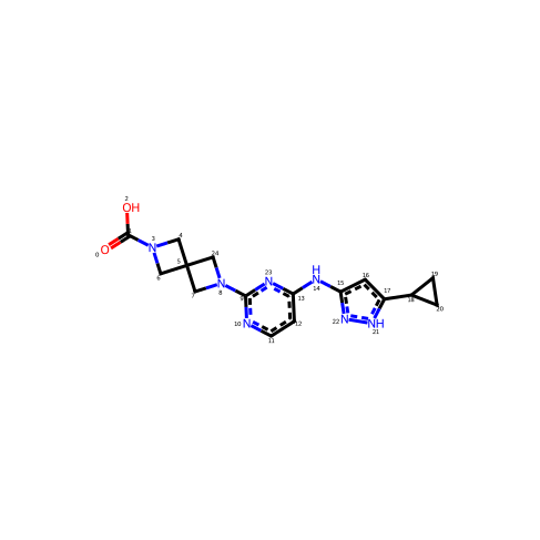 O=C(O)N1CC2(C1)CN(c1nccc(Nc3cc(C4CC4)[nH]n3)n1)C2